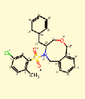 Cc1ccc(Cl)cc1S(=O)(=O)N1Cc2ccccc2COCC1CC1C=CC=CC1